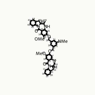 CNc1cc(COc2cc3c(cc2OC)C(=O)N2c4ccccc4C[C@H]2C=N3)cc(COc2cc3c(cc2OC)C(=O)N2c4ccccc4C[C@H]2C(C)N3)c1